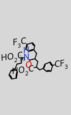 O=C(O)C(Cc1ccc(C(F)(F)F)cc1)CC(Cc1ccc(C(F)(F)F)cc1)C(=O)N[C@H](CCc1ccccc1)C(=O)O